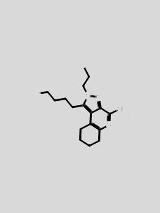 CCCn1nc2c(N)nc3c(c2c1CCCCO)CCCC3